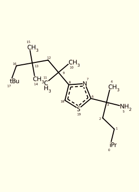 CC(C)CCC(C)(N)c1nc(C(C)(C)CC(C)(C)CC(C)(C)C)cs1